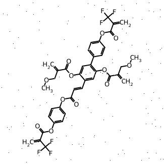 C=C(COC)C(=O)Oc1cc(-c2ccc(OC(=O)C(=C)C(F)(F)F)cc2)c(OC(=O)C(=C)COC)cc1/C=C/C(=O)Oc1ccc(OC(=O)C(=C)C(F)(F)F)cc1